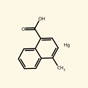 Cc1ccc(C(=O)O)c2ccccc12.[Hg]